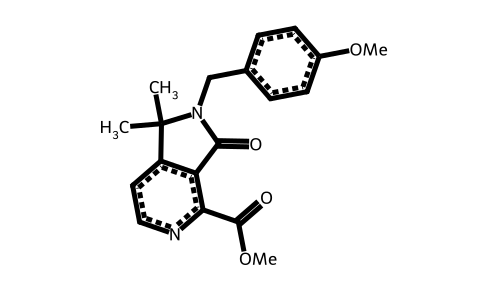 COC(=O)c1nccc2c1C(=O)N(Cc1ccc(OC)cc1)C2(C)C